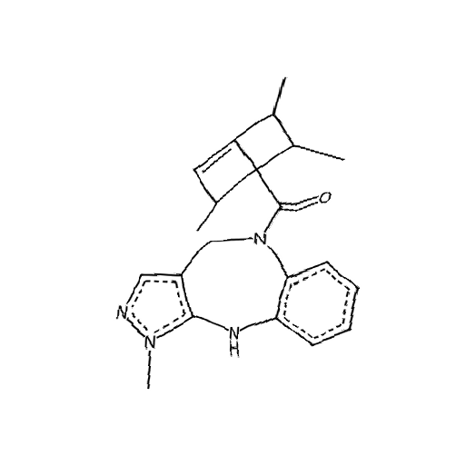 CC1C2=CC(C)C2(C(=O)N2Cc3cnn(C)c3Nc3ccccc32)C1C